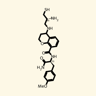 COc1ccc(C[C@H](NC(=O)c2cccc3c2OCCC3NC[C@@H](N)CS)C(N)=O)cc1